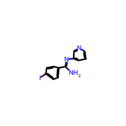 N/C(=N\c1cccnc1)c1ccc(I)cc1